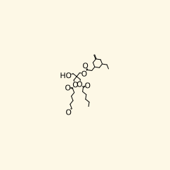 C=C1CC(CC)CC(CC(=O)OCC(CO)(COC(=O)CCCCC)COC(=O)CCCCC=O)C1